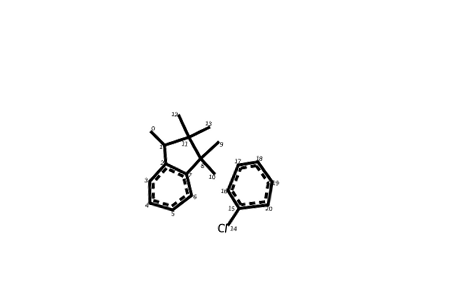 CC1c2ccccc2C(C)(C)C1(C)C.Clc1ccccc1